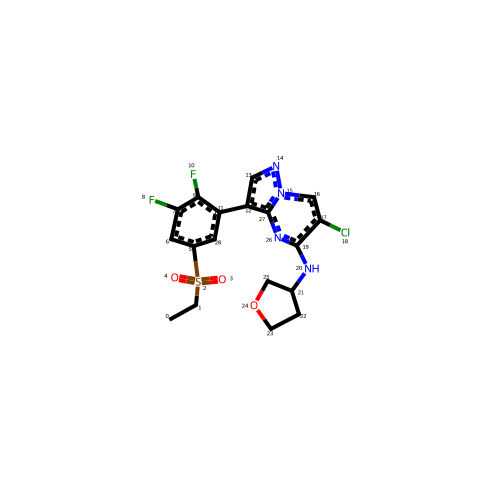 CCS(=O)(=O)c1cc(F)c(F)c(-c2cnn3cc(Cl)c(NC4CCOC4)nc23)c1